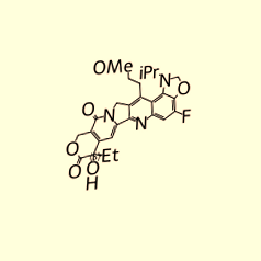 CC[C@@]1(O)C(=O)OCc2c1cc1n(c2=O)Cc2c-1nc1cc(F)c3c(c1c2CCOC)N(C(C)C)CO3